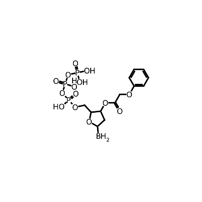 BC1CC(OC(=O)COc2ccccc2)C(COP(=O)(O)OP(=O)(O)OP(=O)(O)O)O1